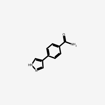 NC(=O)c1ccc(-c2cn[nH]c2)cc1